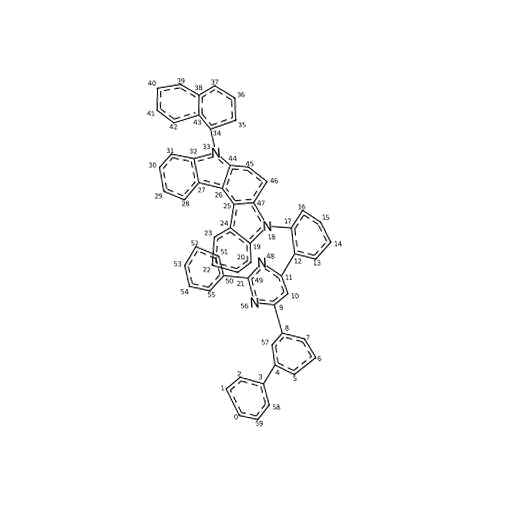 c1ccc(-c2cccc(-c3cc(-c4ccccc4-n4c5ccccc5c5c6c7ccccc7n(-c7cccc8ccccc78)c6ccc54)nc(-c4ccccc4)n3)c2)cc1